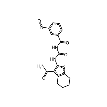 NC(=O)c1c(NC(=O)NC(=O)c2cccc(N=O)c2)sc2c1CCCC2